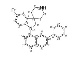 Fc1ccc2c(c1)C1(CCNCC1)CN2c1ncnc2ccc(-c3ccccc3)nc12